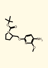 COc1nc(OCC2CCCN2C(=O)OC(C)(C)C)ccc1N